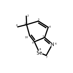 CC1(C)C=CC2=NC[Se]C2=C1